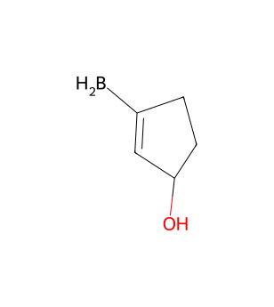 BC1=CC(O)CC1